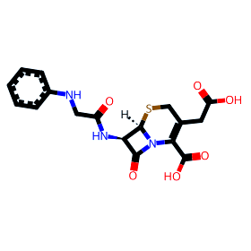 O=C(O)CC1=C(C(=O)O)N2C(=O)[C@@H](NC(=O)CNc3ccccc3)[C@H]2SC1